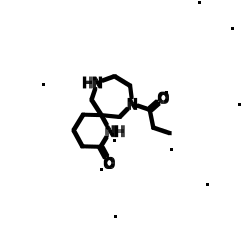 CCC(=O)N1CCNCC2(CCCC(=O)N2)C1